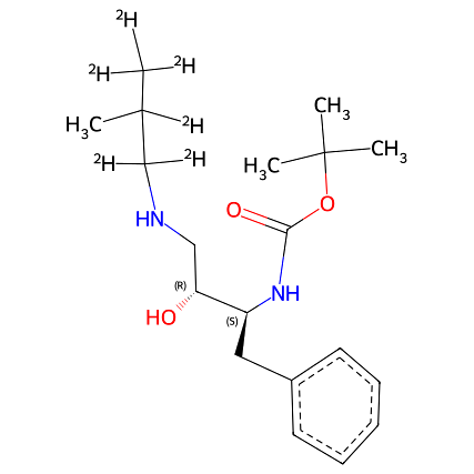 [2H]C([2H])([2H])C([2H])(C)C([2H])([2H])NC[C@@H](O)[C@H](Cc1ccccc1)NC(=O)OC(C)(C)C